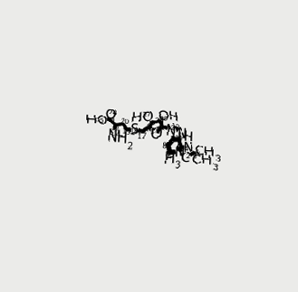 CC(C)(C)Nc1nccc2c1ncn2C1OC(CSCCC(N)C(=O)O)C(O)C1O